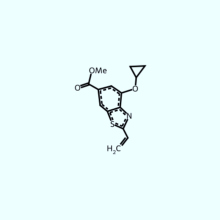 C=Cc1nc2c(OC3CC3)cc(C(=O)OC)cc2s1